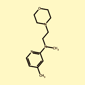 Cc1ccnc(N(C)CCN2CCOCC2)c1